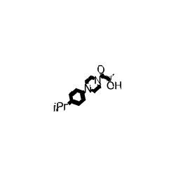 CC(C)c1ccc(N2CCN(C(=O)[C@H](C)O)CC2)cc1